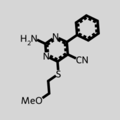 COCCSc1nc(N)nc(-c2ccccc2)c1C#N